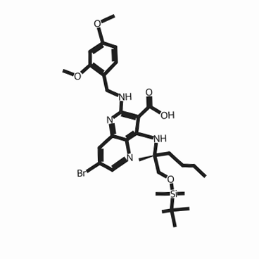 CCCC[C@](C)(CO[Si](C)(C)C(C)(C)C)Nc1c(C(=O)O)c(NCc2ccc(OC)cc2OC)nc2cc(Br)cnc12